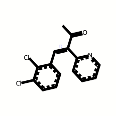 CC(=O)/C(=C/c1cccc(Cl)c1Cl)c1ccccn1